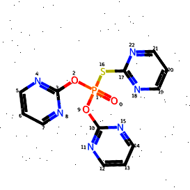 O=P(Oc1ncccn1)(Oc1ncccn1)Sc1ncccn1